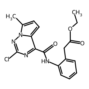 CCOC(=O)Cc1ccccc1NC(=O)c1nc(Cl)nn2c(C)ccc12